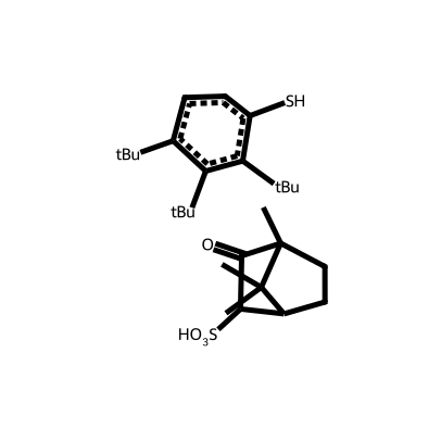 CC(C)(C)c1ccc(S)c(C(C)(C)C)c1C(C)(C)C.CC12CCC(C(S(=O)(=O)O)C1=O)C2(C)C